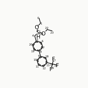 CCO[SiH](Cc1ccc(-c2cccc(C(F)(F)F)c2)cc1)OCC